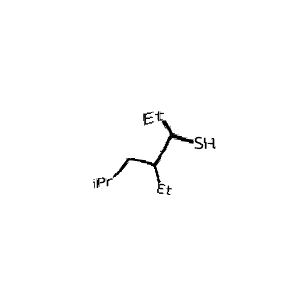 CCC(S)C(CC)CC(C)C